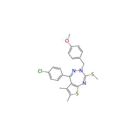 COc1ccc(CN2N=C(c3ccc(Cl)cc3)c3c(sc(C)c3C)N=C2SC)cc1